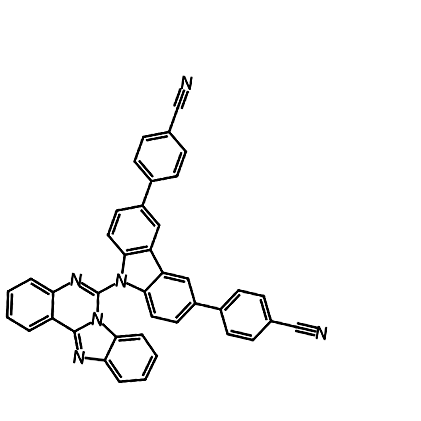 N#Cc1ccc(-c2ccc3c(c2)c2cc(-c4ccc(C#N)cc4)ccc2n3-c2nc3ccccc3c3nc4ccccc4n23)cc1